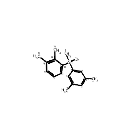 Cc1cc(C)cc([Si](C)(Cl)c2cccc(C)c2C)c1